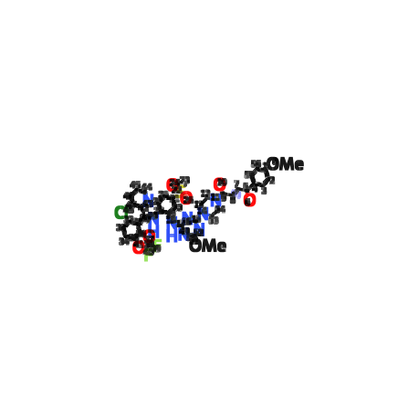 COc1ccc(C(=O)/C=C/C(=O)N2CCN(c3nc(Nc4cc(S(C)(=O)=O)ccc4N[C@@H](c4cccc5c4OC(F)(F)O5)c4ncccc4Cl)nc(OC)n3)CC2)cc1